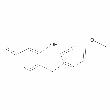 C\C=C/C=C(O)\C(=C/C)Cc1ccc(OC)cc1